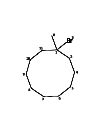 CC1(Br)CCCCCCCCC1